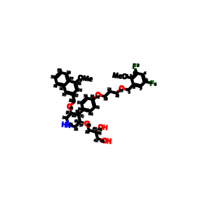 COc1c(F)cc(F)cc1COCCCOc1ccc([C@@H]2[C@@H](OCc3cc(OC)c4ccccc4c3)CNC[C@H]2OC[C@H](O)CO)cc1